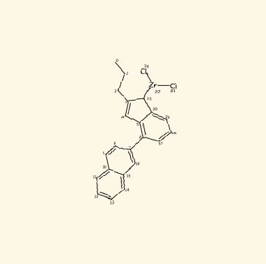 CCCC1=Cc2c(-c3ccc4ccccc4c3)cccc2[CH]1[Zr]([Cl])[Cl]